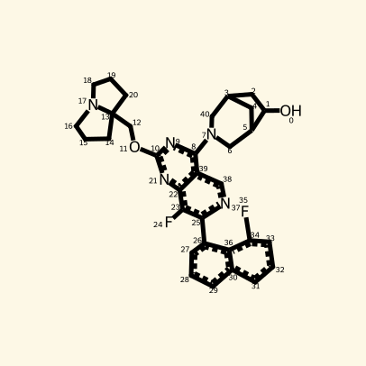 OC1CC2CC1CN(c1nc(OCC34CCCN3CCC4)nc3c(F)c(-c4cccc5cccc(F)c45)ncc13)C2